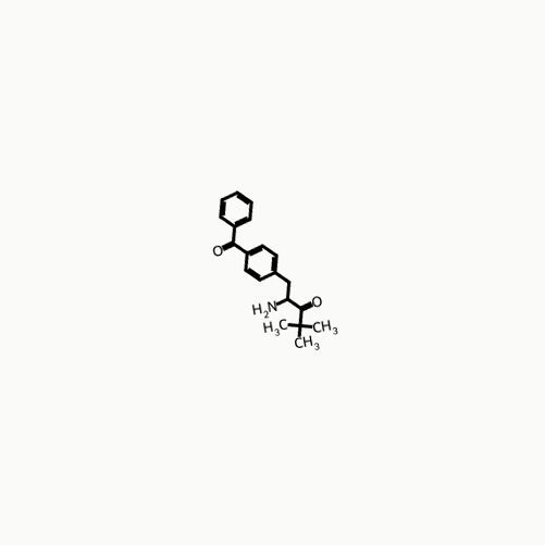 CC(C)(C)C(=O)C(N)Cc1ccc(C(=O)c2ccccc2)cc1